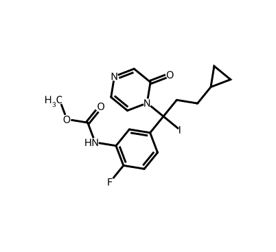 COC(=O)Nc1cc(C(I)(CCC2CC2)n2ccncc2=O)ccc1F